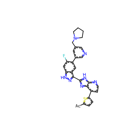 CC(=O)c1ccc(-c2ccnc3[nH]c(-c4n[nH]c5cc(F)c(-c6cncc(CN7CCCC7)c6)cc45)nc23)s1